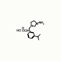 CN(C)c1cccc(CN2CC[C@@H](N)C2)c1.Cl.Cl.Cl